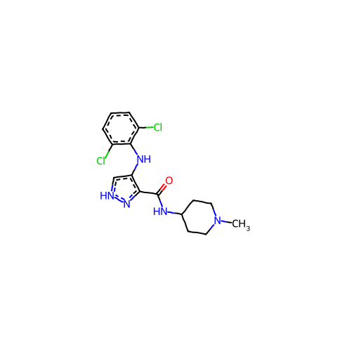 CN1CCC(NC(=O)c2n[nH]cc2Nc2c(Cl)cccc2Cl)CC1